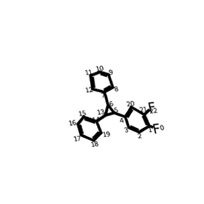 Fc1ccc(C2C(c3ccccc3)C2c2ccccc2)cc1F